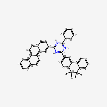 CC1(C)c2ccccc2-c2cc(-c3nc(-c4ccccc4)nc(-c4ccc5ccc6c7ccccc7ccc6c5c4)n3)ccc2C1(C)C